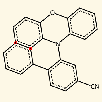 N#Cc1ccc(-c2ccccc2)c(N2c3ccccc3Oc3ccccc32)c1